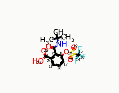 CC(C)(C)NC(=O)c1c(OS(=O)(=O)C(F)(F)F)cccc1C(=O)O